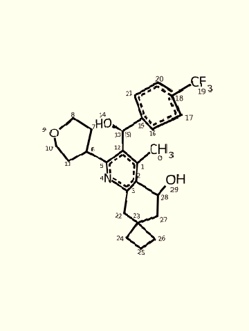 Cc1c2c(nc(C3CCOCC3)c1[C@@H](O)c1ccc(C(F)(F)F)cc1)CC1(CCC1)CC2O